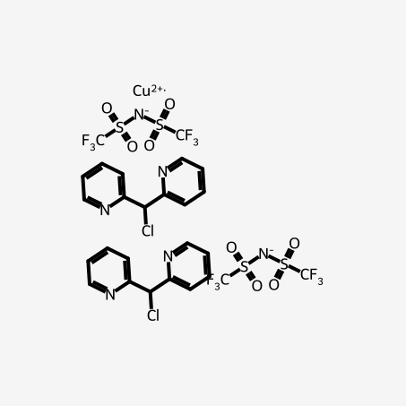 ClC(c1ccccn1)c1ccccn1.ClC(c1ccccn1)c1ccccn1.O=S(=O)([N-]S(=O)(=O)C(F)(F)F)C(F)(F)F.O=S(=O)([N-]S(=O)(=O)C(F)(F)F)C(F)(F)F.[Cu+2]